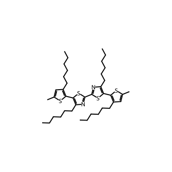 CCCCCCc1cc(C)sc1-c1sc(-c2nc(CCCCCC)c(-c3sc(C)cc3CCCCCC)s2)nc1CCCCCC